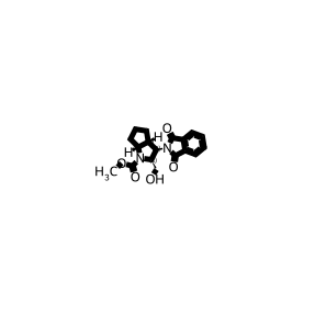 COC(=O)N1[C@@H]2CCC[C@@H]2[C@H](N2C(=O)c3ccccc3C2=O)[C@@H]1CO